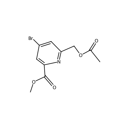 COC(=O)c1cc(Br)cc(COC(C)=O)n1